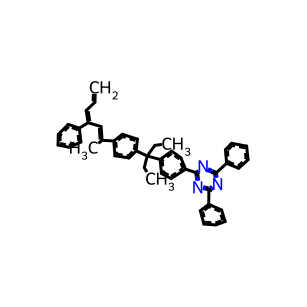 C=C/C=C(\C=C(/C)c1ccc(C(CC)(CC)c2ccc(-c3nc(-c4ccccc4)nc(-c4ccccc4)n3)cc2)cc1)c1ccccc1